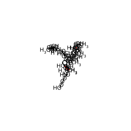 CCN(C(=O)CNC(=O)OCc1ccc(NC(=O)[C@H](C)NC(=O)[C@@H](N)C(C)C)cc1)C1COC(OC2C(O[C@H]3C#C/C=C\C#C[C@]4(O)CC(=O)C(NC(=O)OC)C3/C4=C\CSSC(C)(C)CCC(=O)NCCOCCOCCOCCO)OC(C)C(NOC3CC(O)C(SC(=O)c4c(C)c(I)c(OC5OC(C)C(O)C(OC)C5O)c(OC)c4OC)C(C)O3)C2O)CC1OC